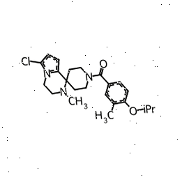 Cc1cc(C(=O)N2CCC3(CC2)c2ccc(Cl)n2CCN3C)ccc1OC(C)C